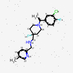 C=C(c1ccc(F)c(Cl)c1)N1CCC(F)(CNCc2ccc(C)cn2)CC1